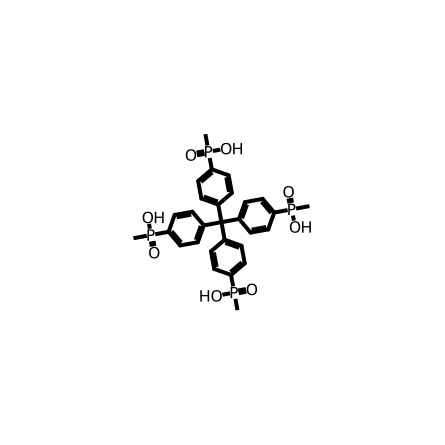 CP(=O)(O)c1ccc(C(c2ccc(P(C)(=O)O)cc2)(c2ccc(P(C)(=O)O)cc2)c2ccc(P(C)(=O)O)cc2)cc1